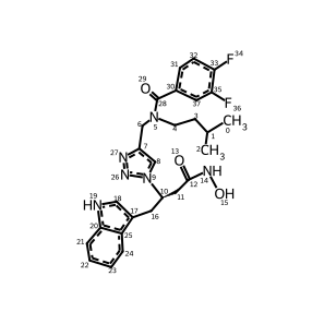 CC(C)CCN(Cc1cn([C@@H](CC(=O)NO)Cc2c[nH]c3ccccc23)nn1)C(=O)c1ccc(F)c(F)c1